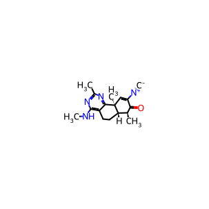 [C-]#[N+]C1=C[C@]2(C)c3nc(C)nc(NC)c3CC[C@H]2[C@H](C)C1=O